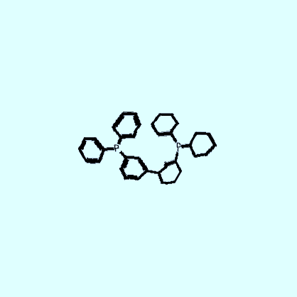 c1ccc(P(c2ccccc2)c2cccc(C3CCCC(P(C4CCCCC4)C4CCCCC4)C3)c2)cc1